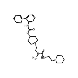 CN(CCN1CCC(OC(=O)Nc2ccccc2-c2ccccc2)CC1)C(=O)NCCN1CCCCC1